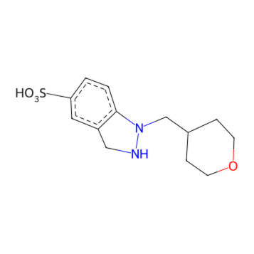 O=S(=O)(O)c1ccc2c(c1)CNN2CC1CCOCC1